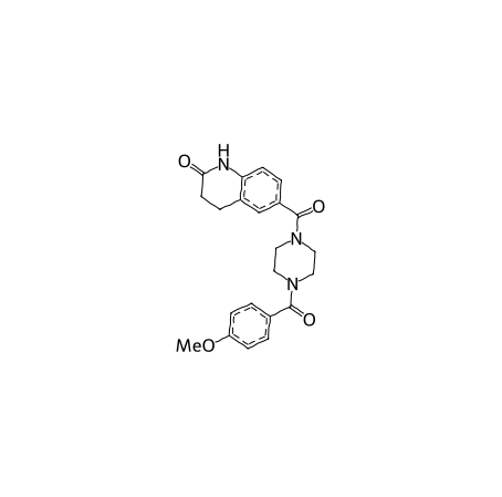 COc1ccc(C(=O)N2CCN(C(=O)c3ccc4c(c3)CCC(=O)N4)CC2)cc1